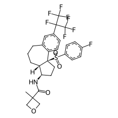 CC1(C(=O)N[C@@H]2CC[C@@]3(S(=O)(=O)c4ccc(F)cc4)c4ccc(C(F)(C(F)(F)F)C(F)(F)F)cc4CCC[C@@H]23)COC1